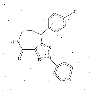 O=C1NCCC(c2ccc(Cl)cc2)c2sc(-c3ccncc3)nc21